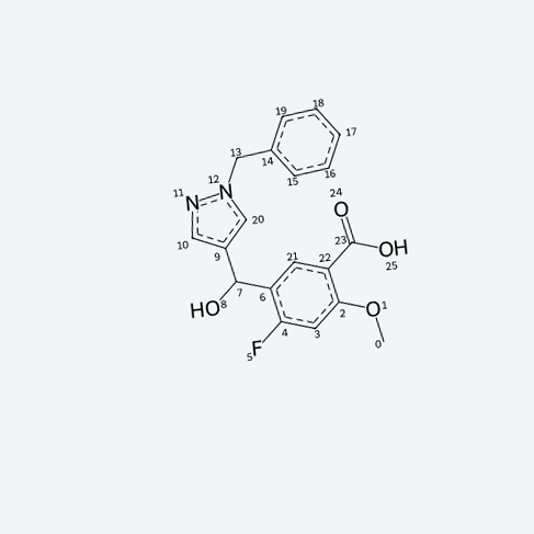 COc1cc(F)c(C(O)c2cnn(Cc3ccccc3)c2)cc1C(=O)O